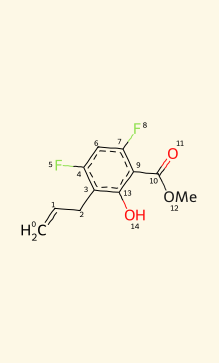 C=CCc1c(F)cc(F)c(C(=O)OC)c1O